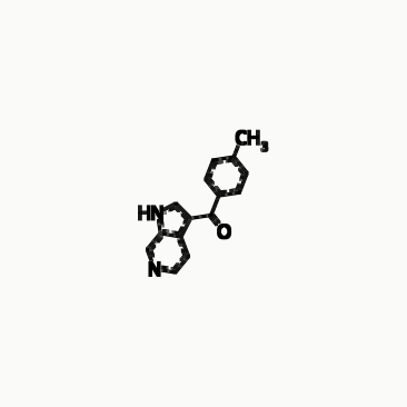 Cc1ccc(C(=O)c2c[nH]c3cnccc23)cc1